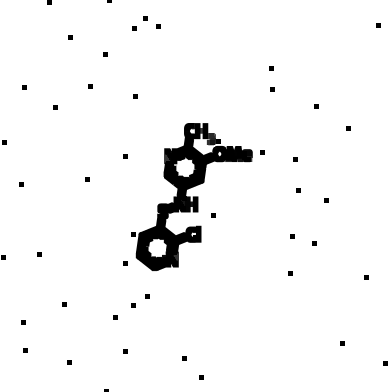 COc1cc(NSc2cccnc2Cl)cnc1C